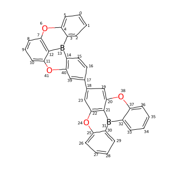 c1ccc2c(c1)Oc1cccc3c1B2c1ccc(-c2cc4c5c(c2)Oc2ccccc2B5c2ccccc2O4)cc1O3